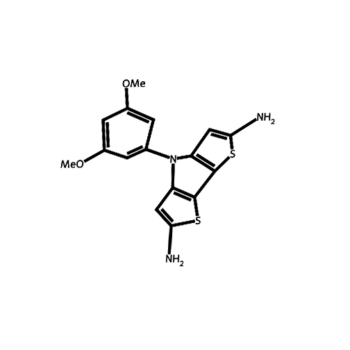 COc1cc(OC)cc(-n2c3cc(N)sc3c3sc(N)cc32)c1